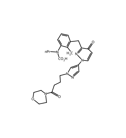 CCCN(C(=O)O)c1cccc(Cc2nn(-c3cnn(CCCC(=O)N4CCOCC4)c3)ccc2=O)c1C